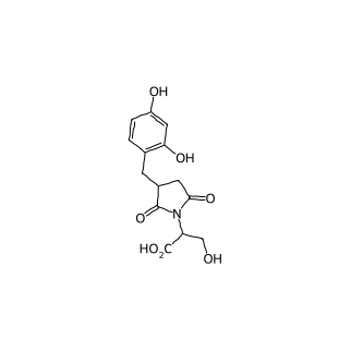 O=C(O)C(CO)N1C(=O)CC(Cc2ccc(O)cc2O)C1=O